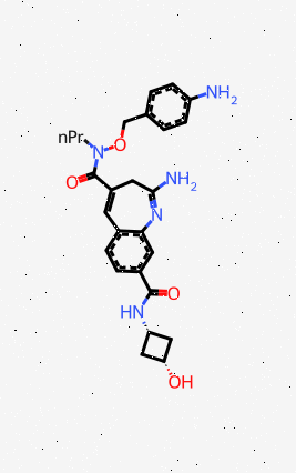 CCCN(OCc1ccc(N)cc1)C(=O)C1=Cc2ccc(C(=O)N[C@H]3C[C@@H](O)C3)cc2N=C(N)C1